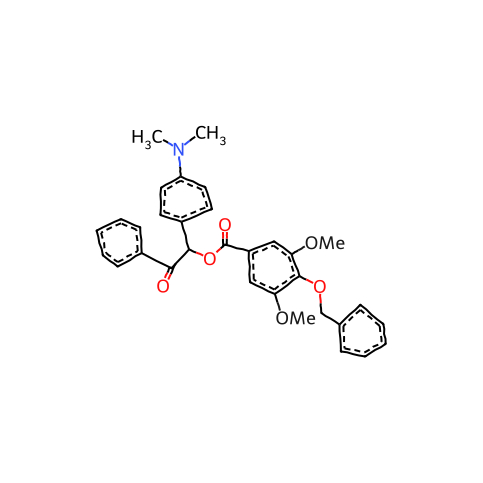 COc1cc(C(=O)OC(C(=O)c2ccccc2)c2ccc(N(C)C)cc2)cc(OC)c1OCc1ccccc1